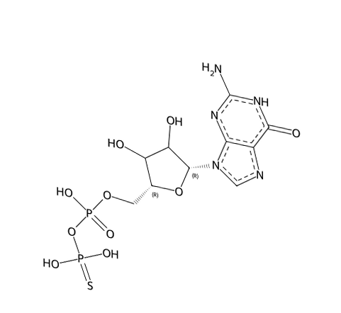 Nc1nc2c(ncn2[C@@H]2O[C@H](COP(=O)(O)OP(O)(O)=S)C(O)C2O)c(=O)[nH]1